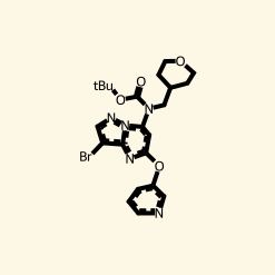 CC(C)(C)OC(=O)N(CC1CCOCC1)c1cc(Oc2cccnc2)nc2c(Br)cnn12